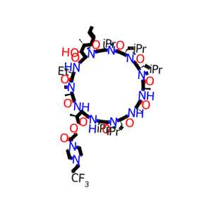 C/C=C/C[C@@H](C)[C@@H](O)[C@H]1C(=O)N[C@@H](CC)C(=O)N(C)[C@H](C)C(=O)N[C@@H]([C@H](C)COCC(=O)N2CCN(CCC(F)(F)F)CC2)C(=O)N[C@@H](C(C)C)C(=O)N(C)[C@@H](CC(C)C)C(=O)N[C@@H](C)C(=O)N[C@H](C)C(=O)N(C)[C@@H](CC(C)C)C(=O)N(C)[C@@H](CC(C)C)C(=O)N(C)[C@@H](C(C)C)C(=O)N1C